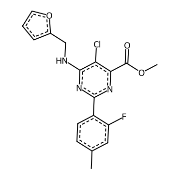 COC(=O)c1nc(-c2ccc(C)cc2F)nc(NCc2ccco2)c1Cl